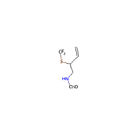 C=CC(CN[C]=O)SC(F)(F)F